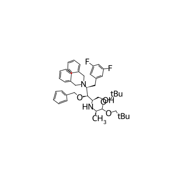 C[C@@H](N[C@H](CO)[C@@H](OCc1ccccc1)[C@H](Cc1cc(F)cc(F)c1)N(Cc1ccccc1)Cc1ccccc1)C(OCC(C)(C)C)OCC(C)(C)C